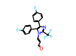 O=C/C=C/n1c(C(F)(F)F)nc(-c2ccc(F)cc2)c1-c1ccc(F)cc1